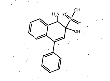 NC1c2ccccc2C(c2ccccc2)=CC1(O)S(=O)(=O)O